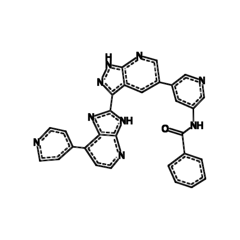 O=C(Nc1cncc(-c2cnc3[nH]nc(-c4nc5c(-c6ccncc6)ccnc5[nH]4)c3c2)c1)c1ccccc1